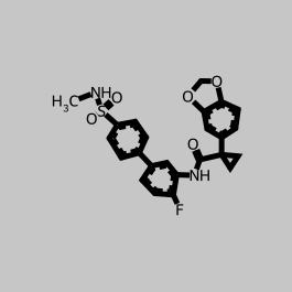 CNS(=O)(=O)c1ccc(-c2ccc(F)c(NC(=O)C3(c4ccc5c(c4)OCO5)CC3)c2)cc1